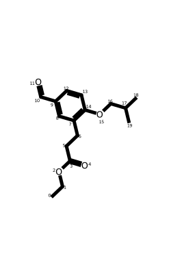 CCOC(=O)CCc1cc(C=O)ccc1OCC(C)C